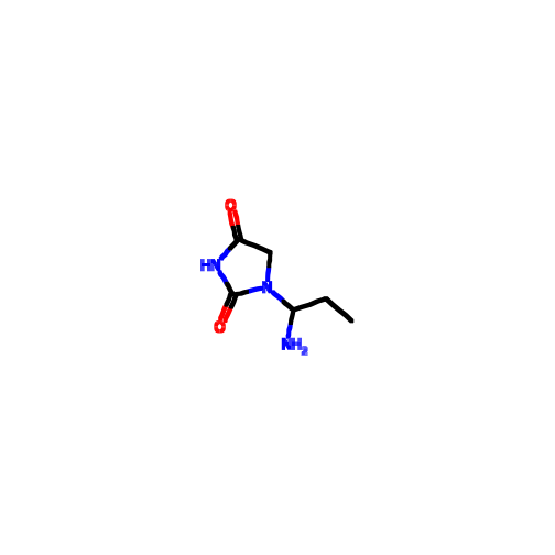 CCC(N)N1CC(=O)NC1=O